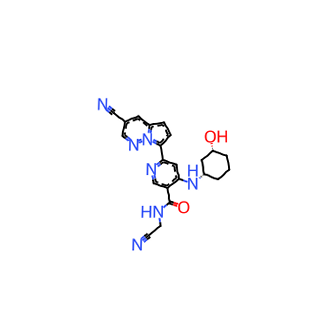 N#CCNC(=O)c1cnc(-c2ccc3cc(C#N)cnn23)cc1N[C@H]1CCC[C@@H](O)C1